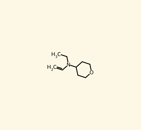 C=CN(CC)C1CCOCC1